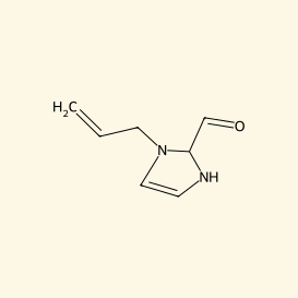 C=CCN1C=CNC1C=O